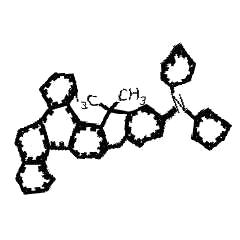 CC1(C)c2cc(N(c3ccccc3)c3ccccc3)ccc2-c2ccc3c(c21)c1ccccc1c1ccc2ccccc2c13